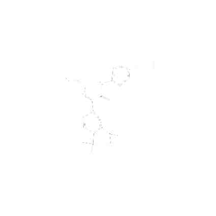 CCCCCCCCCON=C(C(=O)Nc1ccc(C(=O)O)cc1)c1ccc2c(c1)C(C)(C)CCC2(C)C